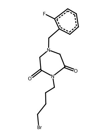 O=C1CN(Cc2ccccc2F)CC(=O)N1CCCCBr